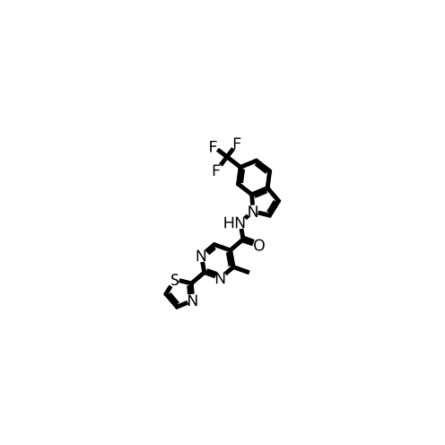 Cc1nc(-c2nccs2)ncc1C(=O)Nn1ccc2ccc(C(F)(F)F)cc21